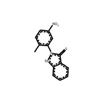 Cc1ccc([N+](=O)[O-])cc1-n1[se]c2ccccc2c1=S